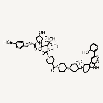 C#Cc1ccc(CNC(=O)[C@@H]2C[C@@H](O)CN2C(=O)[C@@H](NC(=O)N2CCC(C(=O)N3CCC(N4CCC(N5CCc6[nH]c7nnc(-c8ccccc8O)cc7c6[C@H]5C)CC4)CC3)CC2)C(C)(C)C)cc1